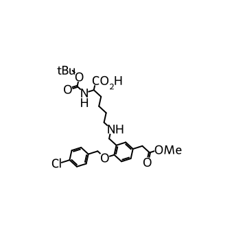 COC(=O)Cc1ccc(OCc2ccc(Cl)cc2)c(CNCCCCC(NC(=O)OC(C)(C)C)C(=O)O)c1